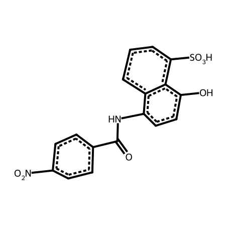 O=C(Nc1ccc(O)c2c(S(=O)(=O)O)cccc12)c1ccc([N+](=O)[O-])cc1